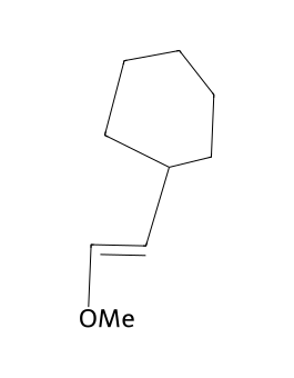 COC=CC1CCCCC1